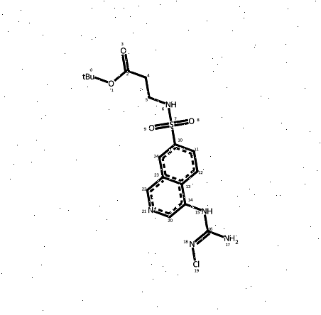 CC(C)(C)OC(=O)CCNS(=O)(=O)c1ccc2c(NC(N)=NCl)cncc2c1